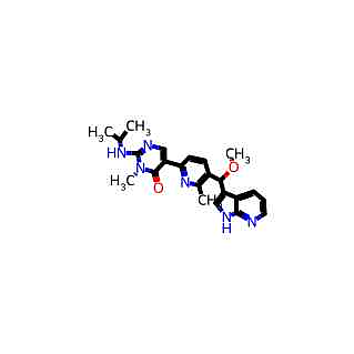 COC(c1ccc(-c2cnc(NC(C)C)n(C)c2=O)nc1C)c1c[nH]c2ncccc12